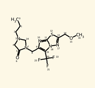 CCCN1CC(=O)N(Cc2nc3sc(COC)nn3c2C(F)(F)F)C1